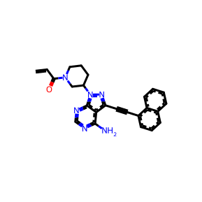 C=CC(=O)N1CCCC(n2nc(C#Cc3cccc4ccccc34)c3c(N)ncnc32)C1